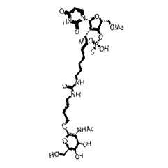 COC[C@H]1O[C@@H](n2ccc(=O)[nH]c2=O)[C@@H](C/C=C/CCCCNC(=O)NCCCCO[C@@H]2O[C@H](CO)[C@H](O)[C@H](O)[C@H]2NC(C)=O)C1OP(O)(=S)OC